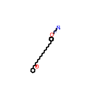 CN(C)C/C=C/COc1ccc(CCCCCCCCCCCCCCC(=O)CC2CCCCC2)cc1